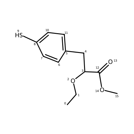 CCOC(Cc1ccc(S)cc1)C(=O)OC